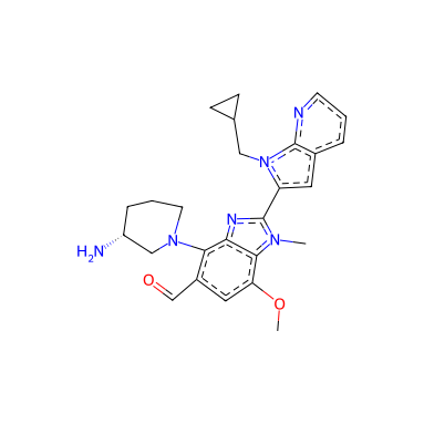 COc1cc(C=O)c(N2CCC[C@@H](N)C2)c2nc(-c3cc4cccnc4n3CC3CC3)n(C)c12